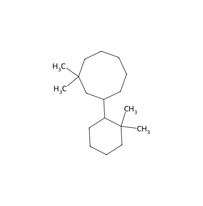 CC1(C)CCCCCC(C2CCCCC2(C)C)C1